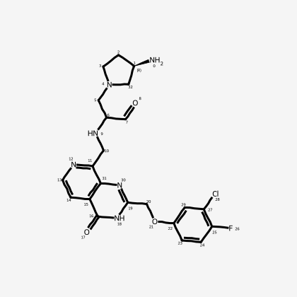 N[C@@H]1CCN(CC(C=O)NCc2nccc3c(=O)[nH]c(COc4ccc(F)c(Cl)c4)nc23)C1